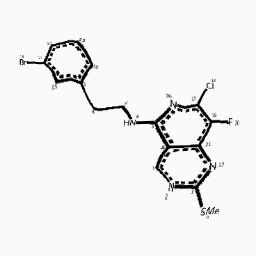 CSc1ncc2c(NCCc3cccc(Br)c3)nc(Cl)c(F)c2n1